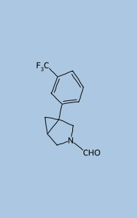 O=CN1CC2CC2(c2cccc(C(F)(F)F)c2)C1